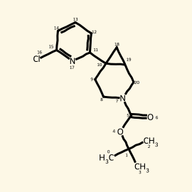 CC(C)(C)OC(=O)N1CCC2(c3cccc(Cl)n3)CC2C1